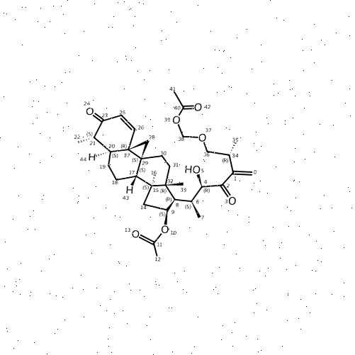 C=C(C(=O)[C@H](O)[C@@H](C)[C@H]1[C@@H](OC(C)=O)C[C@@]2(C)[C@@H]3CC[C@H]4[C@H](C)C(=O)C=C[C@@]45C[C@@]35CC[C@]12C)[C@@H](C)COCOC(C)=O